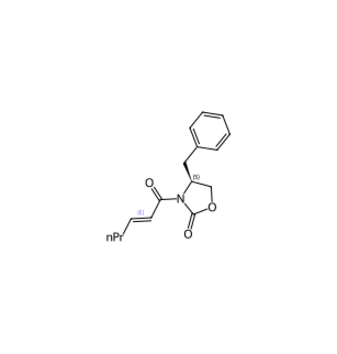 CCC/C=C/C(=O)N1C(=O)OC[C@@H]1Cc1ccccc1